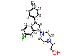 OCCN1CCN([C@H]2C[C@H](c3ccc(F)cc3)c3ccc(F)cc32)CC1